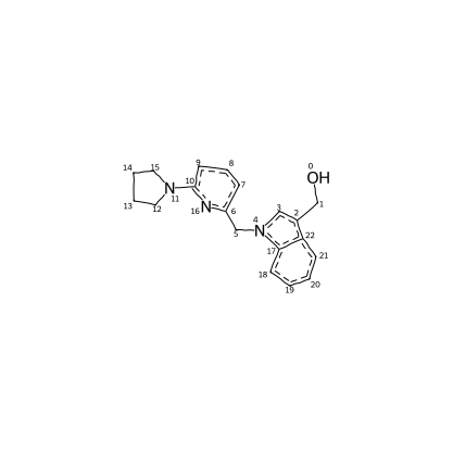 OCc1cn(Cc2cccc(N3CCCC3)n2)c2ccccc12